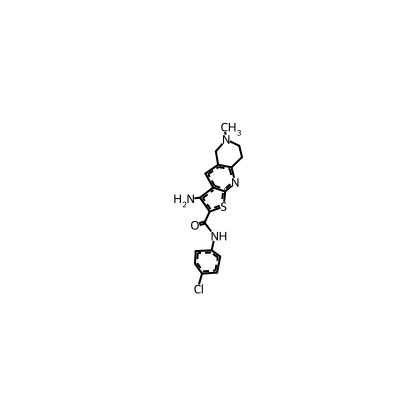 CN1CCc2nc3sc(C(=O)Nc4ccc(Cl)cc4)c(N)c3cc2C1